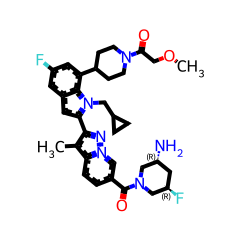 COCC(=O)N1CCC(c2cc(F)cc3cc(-c4nn5cc(C(=O)N6C[C@H](N)C[C@@H](F)C6)ccc5c4C)n(CC4CC4)c23)CC1